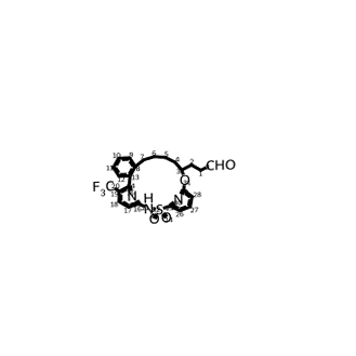 O=CCCC1CCCCc2ccccc2-c2nc(ccc2C(F)(F)F)NS(=O)(=O)c2cccc(n2)O1